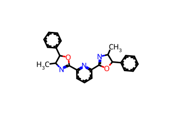 CC1N=C(c2cccc(C3=NC(C)C(c4ccccc4)O3)n2)OC1c1ccccc1